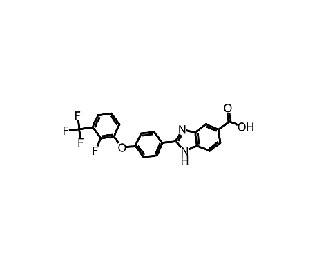 O=C(O)c1ccc2[nH]c(-c3ccc(Oc4cccc(C(F)(F)F)c4F)cc3)nc2c1